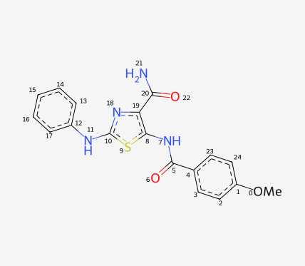 COc1ccc(C(=O)Nc2sc(Nc3ccccc3)nc2C(N)=O)cc1